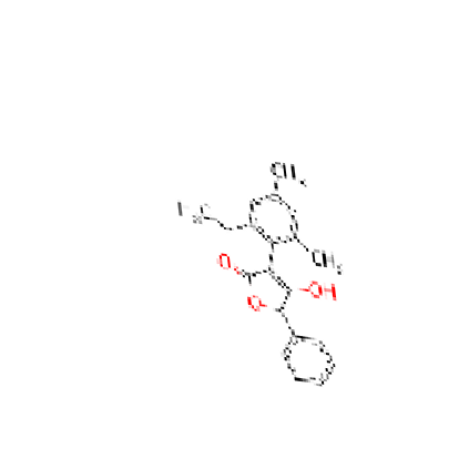 CCc1cc(C)cc(C)c1C1=C(O)C(c2ccccc2)OC1=O